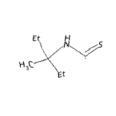 CCC(C)(CC)N[C]=S